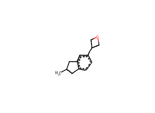 CC1Cc2ccc(C3COC3)cc2C1